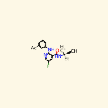 C#CC(C)(CC)NC(=O)c1cc(F)cnc1Nc1cccc(C(C)=O)c1